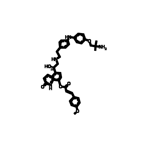 COc1ccc(C=CC(=O)Oc2ccc([C@@H](O)CNCCc3ccc(Nc4ccc(OCC(C)(C)N)cc4)cc3)c3ccc(=O)[nH]c23)cc1